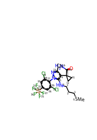 CSCCCNc1c(C2(C(N)=O)CC2)c(C#N)nn1-c1c(Cl)cc(S(F)(F)(F)(F)F)cc1Cl